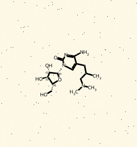 CC(Cc1cn([C@@H]2O[C@H](CO)[C@@H](O)[C@@H]2O)c(=O)nc1N)CN(C)C